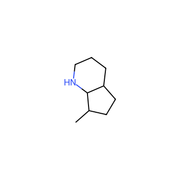 CC1CCC2CCCNC12